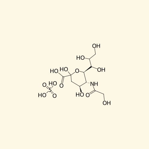 O=C(CO)N[C@@H]1[C@@H](O)CC(O)(C(=O)O)O[C@H]1C(O)C(O)CO.O=S(=O)(O)O